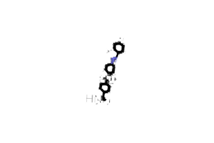 CNC(=O)c1ccc(S(=O)(=O)c2ccc(/C=C/c3ccc(F)cc3F)cc2)cc1